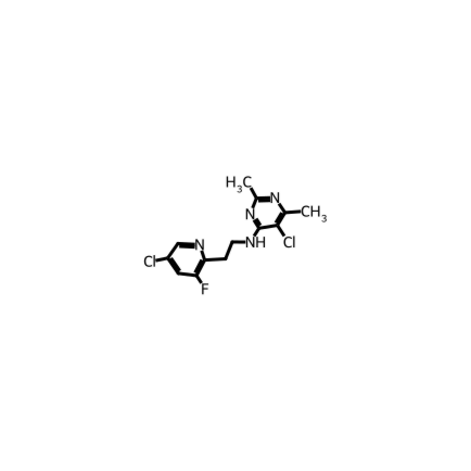 Cc1nc(C)c(Cl)c(NCCc2ncc(Cl)cc2F)n1